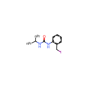 CCCC(CCC)NC(=O)Nc1ccccc1CI